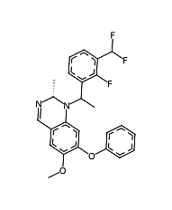 COc1cc2c(cc1Oc1ccccc1)N(C(C)c1cccc(C(F)F)c1F)[C@@H](C)N=C2